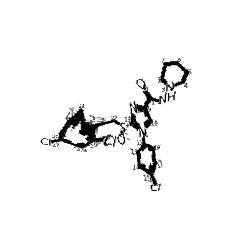 O=C(NN1CCCCC1)c1cn(-c2ccc(Cl)cc2)c([S+]([O-])Cc2ccc(Cl)cc2Cl)n1